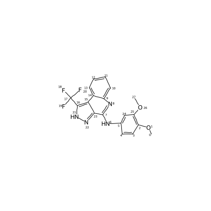 COc1ccc(Nc2nc3ccccc3c3c(C(F)(F)F)[nH]nc23)cc1OC